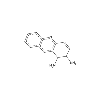 NC1C=Cc2nc3ccccc3cc2C1N